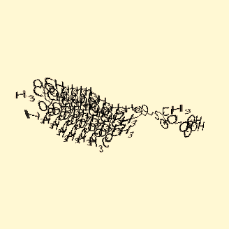 COC(=O)C(C)(C)CC(C)(CC(C)(CC(C)(CC(C)(CC(C)(CC(C)(CC(C)(CC(C)(CC(C)(CC(C)(CC(C)(CC(C)(CC(C)(CSCCC(=O)CC(=O)CCSCC(C)C(=O)OCCOP(=O)(O)O)C(=O)OC)C(=O)OC)C(=O)OC)C(=O)OC)C(=O)OC)C(=O)OC)C(=O)OC)C(=O)OC)C(=O)OC)C(=O)OC)C(=O)OC)C(=O)OC)C(=O)OC